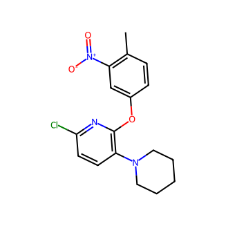 Cc1ccc(Oc2nc(Cl)ccc2N2CCCCC2)cc1[N+](=O)[O-]